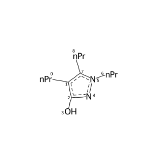 CCCc1c(O)nn(CCC)c1CCC